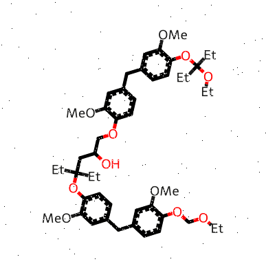 CCOCOc1ccc(Cc2ccc(OC(CC)(CC)CC(O)COc3ccc(Cc4ccc(OC(CC)(CC)OCC)c(OC)c4)cc3OC)c(OC)c2)cc1OC